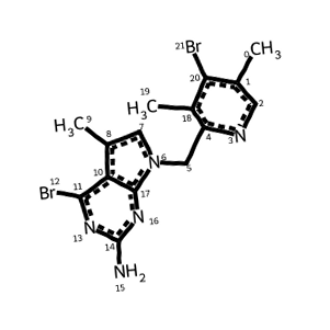 Cc1cnc(Cn2cc(C)c3c(Br)nc(N)nc32)c(C)c1Br